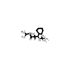 CC(C)NC(=O)C(F)(F)C(NC(C)(C)C)C1CCCCC1